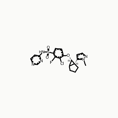 Cn1nccc1[C@]12CCCC1[C@@H]2Oc1ccc(S(=O)(=O)Nc2ccncn2)c(F)c1Cl